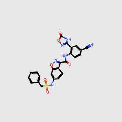 N#Cc1ccc(NC(=O)c2noc3cc(NS(=O)(=O)Cc4ccccc4)ccc23)c(-c2noc(=O)[nH]2)c1